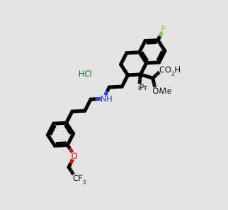 COC(C(=O)O)C1(C(C)C)c2ccc(F)cc2CCC1CCNCCCc1cccc(OCC(F)(F)F)c1.Cl